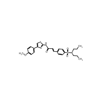 CCCN(CCC)S(=O)(=O)c1ccc(C=CC(=O)Nc2nc(-c3ccc(OC)cc3)cs2)cc1